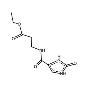 CCOC(=O)CCNC(=O)c1c[nH]c(=O)[nH]1